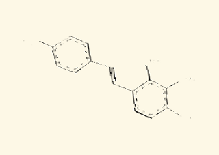 COc1c(O)ccc(C=Cc2ccc(C(=O)O)cc2)c1OC